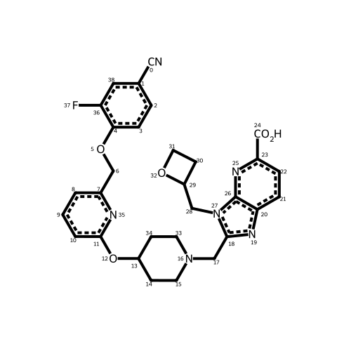 N#Cc1ccc(OCc2cccc(OC3CCN(Cc4nc5ccc(C(=O)O)nc5n4CC4CCO4)CC3)n2)c(F)c1